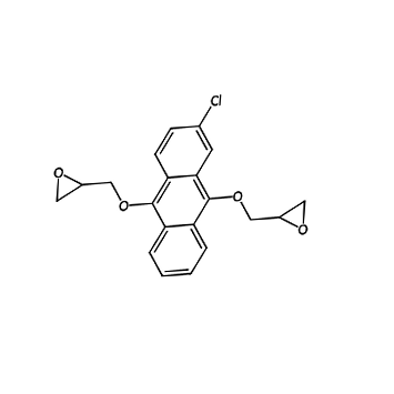 Clc1ccc2c(OCC3CO3)c3ccccc3c(OCC3CO3)c2c1